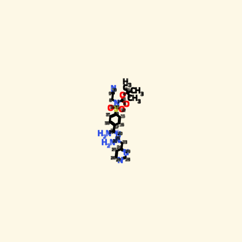 CC(C)(C)OC(=O)N(CC#N)S(=O)(=O)c1ccc(/C(N)=N/N(N)Cc2ccncn2)cc1